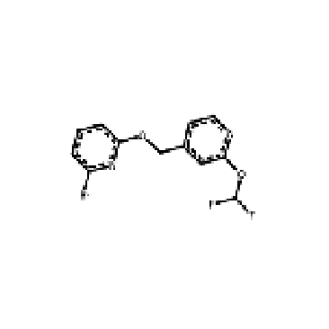 FC(F)Oc1cc(COc2cccc(Br)n2)ccn1